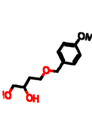 COc1ccc(COCCC(O)CO)cc1